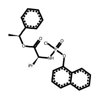 CC(C)[C@H](NP(=O)(Cl)Oc1cccc2ccccc12)C(=O)O[C@@H](C)c1ccccc1